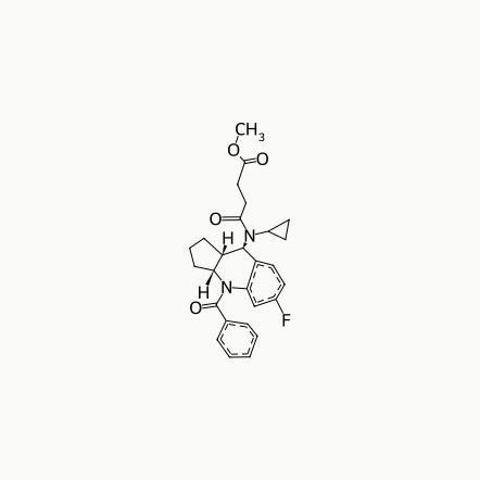 COC(=O)CCC(=O)N(C1CC1)[C@H]1c2ccc(F)cc2N(C(=O)c2ccccc2)[C@@H]2CCC[C@@H]21